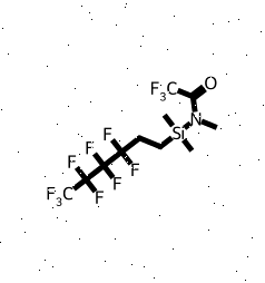 CN(C(=O)C(F)(F)F)[Si](C)(C)CCC(F)(F)C(F)(F)C(F)(F)C(F)(F)F